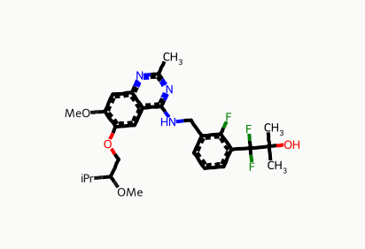 COc1cc2nc(C)nc(NCc3cccc(C(F)(F)C(C)(C)O)c3F)c2cc1OCC(OC)C(C)C